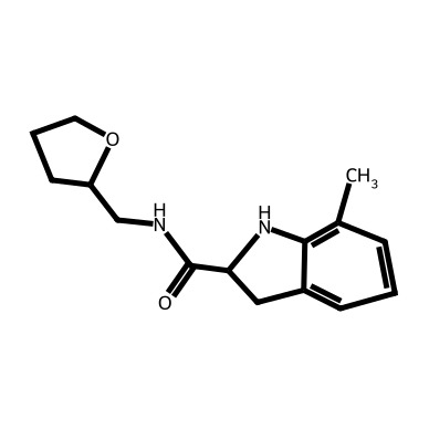 Cc1cccc2c1NC(C(=O)NCC1CCCO1)C2